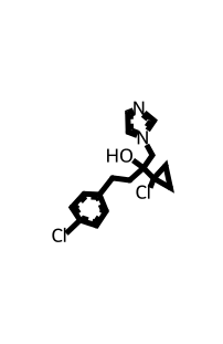 OC(CCc1ccc(Cl)cc1)(Cn1ccnc1)C1(Cl)CC1